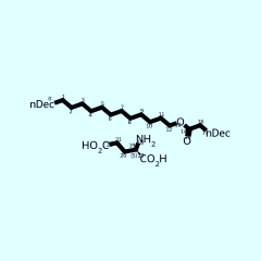 CCCCCCCCCCCCCCCCCCCCCCOC(=O)CCCCCCCCCCC.N[C@@H](CCC(=O)O)C(=O)O